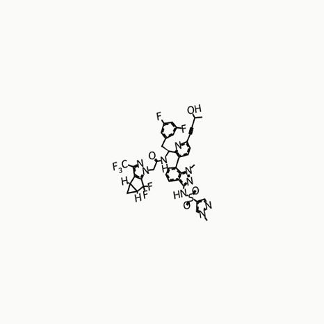 CC(O)C#Cc1ccc(-c2cccc3c(NS(=O)(=O)c4cnn(C)c4)nn(C)c23)c([C@H](Cc2cc(F)cc(F)c2)NC(=O)Cn2nc(C(F)(F)F)c3c2C(F)(F)[C@@H]2C[C@H]32)n1